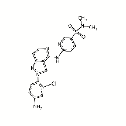 CN(C)S(=O)(=O)c1ccc(Nc2nccc3nn(-c4ccc(N)cc4Cl)cc23)nc1